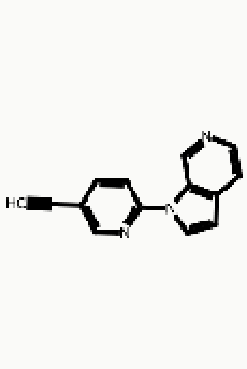 C#Cc1ccc(-n2ccc3ccncc32)nc1